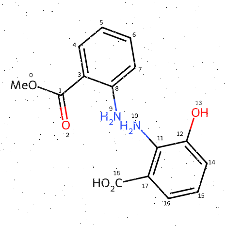 COC(=O)c1ccccc1N.Nc1c(O)cccc1C(=O)O